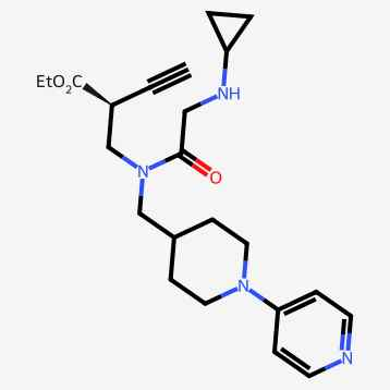 C#C[C@@H](CN(CC1CCN(c2ccncc2)CC1)C(=O)CNC1CC1)C(=O)OCC